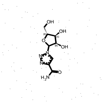 NC(=O)c1cn(C2O[C@H](CO)[C@@H](O)[C@H]2O)nn1